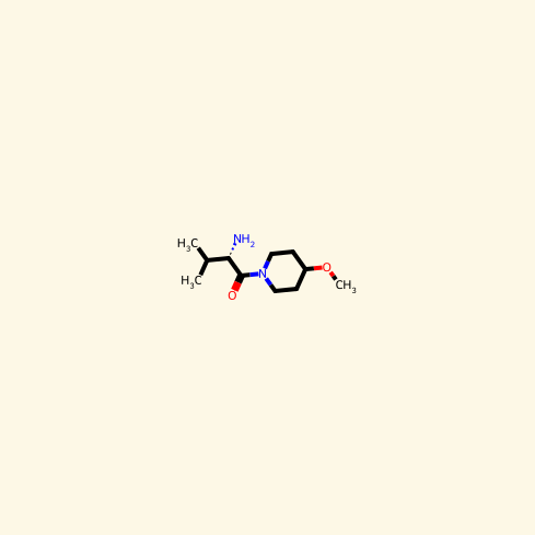 COC1CCN(C(=O)[C@@H](N)C(C)C)CC1